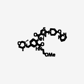 COCCNC(=O)c1cc(CN2[C@@H](C)COC[C@@H]2C)ccc1NC(=O)c1csc(N2CCC(Oc3ncccn3)CC2)n1